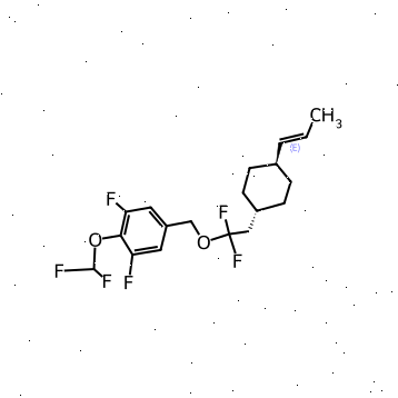 C/C=C/[C@H]1CC[C@H](CC(F)(F)OCc2cc(F)c(OC(F)F)c(F)c2)CC1